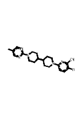 Cc1cnc(N2CCC(C3CCN(c4ccc(Cl)c(C#N)n4)CC3)CC2)nc1